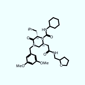 COc1cc(CN2C[C@H](CC(=O)NCC3CCCO3)N(C(=O)NC3CCCCC3)[C@@H](CC(C)C)C2=O)cc(OC)c1